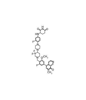 COc1cc(-c2cn(C)c(=O)c3cnccc23)cc(F)c1CN1CCC(N2CCN(c3ccc(NC4CCC(=O)NC4=O)cc3F)CC2)C(F)(F)C1